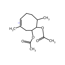 CC(=O)OC1C/C(C)=C\CCC(C)C1OC(C)=O